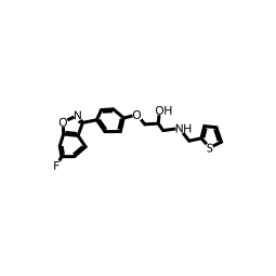 OC(CNCc1cccs1)COc1ccc(-c2noc3cc(F)ccc23)cc1